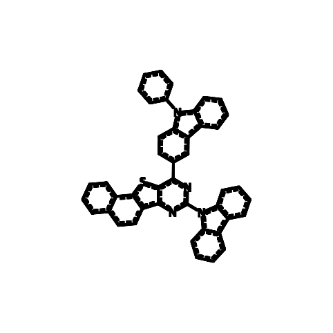 c1ccc(-n2c3ccccc3c3cc(-c4nc(-n5c6ccccc6c6ccccc65)nc5c4sc4c6ccccc6ccc54)ccc32)cc1